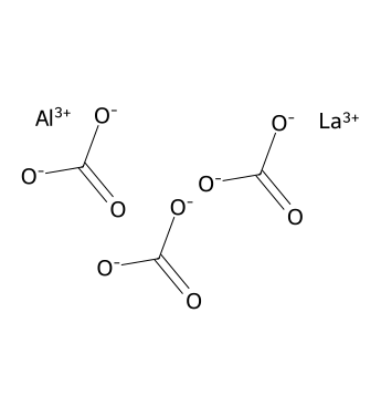 O=C([O-])[O-].O=C([O-])[O-].O=C([O-])[O-].[Al+3].[La+3]